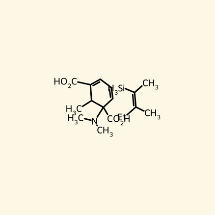 CC1C(C(=O)O)=CC=CC1(C(=O)O)N(C)C.CCC(C)=C(C)[SiH3]